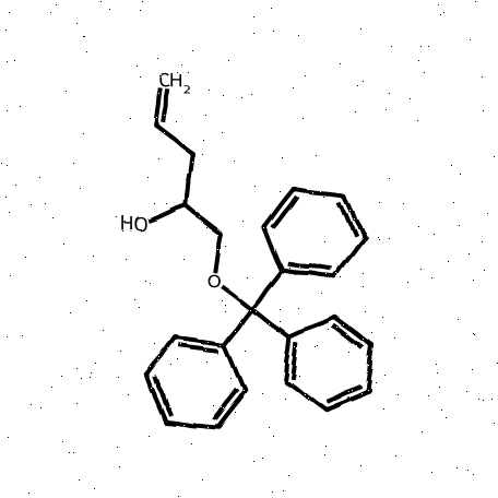 C=CCC(O)COC(c1ccccc1)(c1ccccc1)c1ccccc1